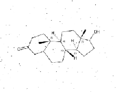 C[C@]12CCC(=O)CC1CC[C@@H]1[C@@H]2CC[C@]2(C)C(O)CC[C@@H]12